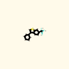 FC(F)(F)c1ccc2c(-c3ccccc3)csc2c1